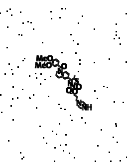 COc1ccc(C(=O)N2CCCc3cc(C4=NN(C(=O)OCCCN5CCNCC5)C(=O)SC4C)ccc32)cc1OC